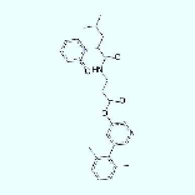 Cc1cccc(C)c1-c1cncc(OC(=O)CCNC(=O)C(CC(C)C)n2ccccc2=O)c1